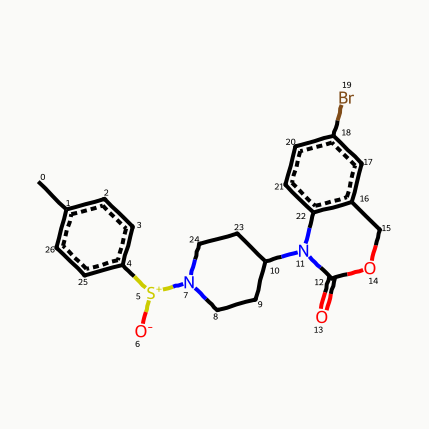 Cc1ccc([S+]([O-])N2CCC(N3C(=O)OCc4cc(Br)ccc43)CC2)cc1